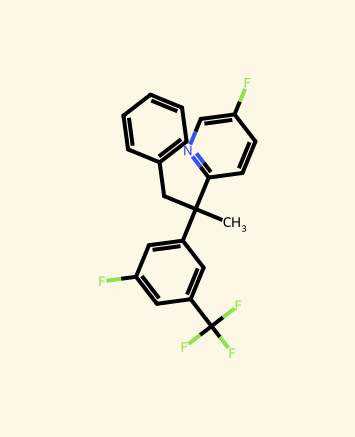 CC(Cc1ccccc1)(c1cc(F)cc(C(F)(F)F)c1)c1ccc(F)cn1